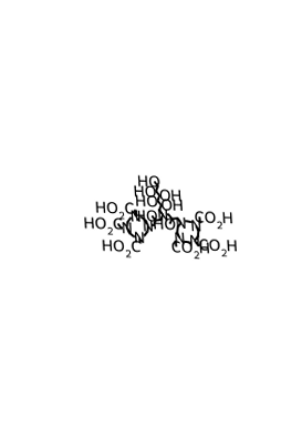 O=C(O)CN1CCN(CC(=O)O)CCN(CC(O)CN(CC(O)CN2CCN(CC(=O)O)CCN(CC(=O)O)CCN(CC(=O)O)CC2)CC(O)C(O)C(O)C(O)CO)CCN(CC(=O)O)CC1